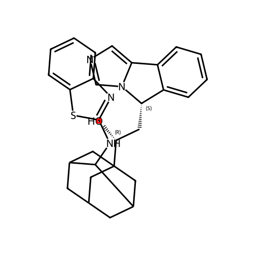 O[C@H](C[C@H]1c2ccccc2-c2cncn21)C12CC3CC(C1)C(Nc1nc4ccccc4s1)C(C3)C2